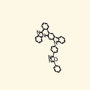 c1ccc(-c2nnc(-c3ccc(-n4c5ccccc5c5cc6c7ccccc7c7nc8ccccc8n7c6cc54)cc3)o2)cc1